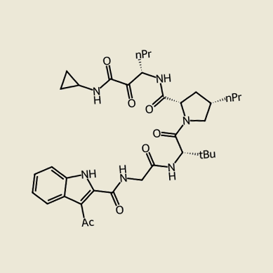 CCC[C@H]1C[C@@H](C(=O)N[C@@H](CCC)C(=O)C(=O)NC2CC2)N(C(=O)[C@@H](NC(=O)CNC(=O)c2[nH]c3ccccc3c2C(C)=O)C(C)(C)C)C1